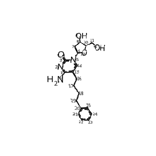 Nc1nc(=O)n([C@H]2CC(O)[C@@H](CO)O2)cc1CCCCc1ccccc1